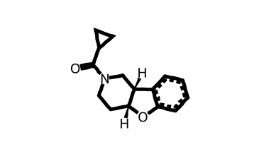 O=C(C1CC1)N1CC[C@H]2Oc3ccccc3[C@H]2C1